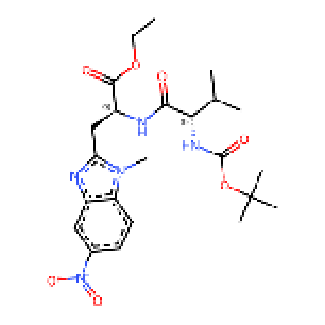 CCOC(=O)[C@H](Cc1nc2cc([N+](=O)[O-])ccc2n1C)NC(=O)[C@@H](NC(=O)OC(C)(C)C)C(C)C